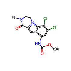 CCN1CCn2c(cc3c(NC(=O)OC(C)(C)C)cc(Cl)c(Cl)c32)C1=O